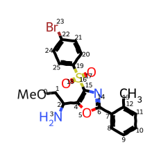 COCC(N)c1oc(-c2ccccc2C)nc1S(=O)(=O)c1ccc(Br)cc1